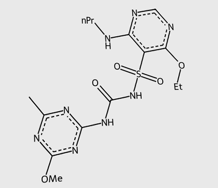 CCCNc1ncnc(OCC)c1S(=O)(=O)NC(=O)Nc1nc(C)nc(OC)n1